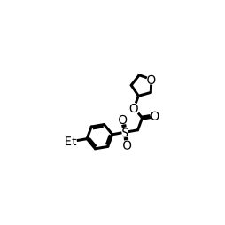 CCc1ccc(S(=O)(=O)CC(=O)OC2CCOC2)cc1